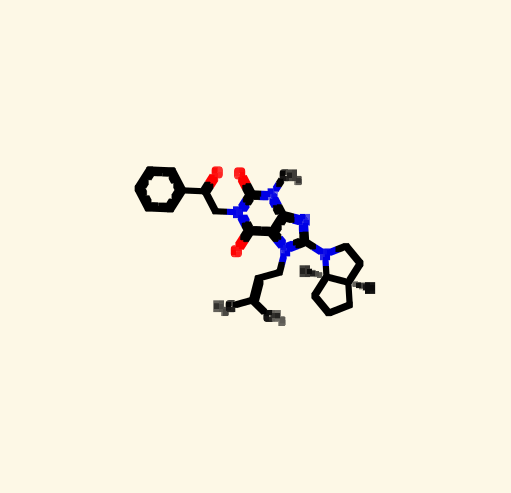 CC(C)=CCn1c(N2CC[C@H]3CCC[C@H]32)nc2c1c(=O)n(CC(=O)c1ccccc1)c(=O)n2C